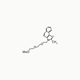 COCCOCCOCCn1c(C)[s+]c2c3ccccc3ccc21